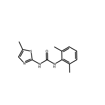 Cc1cnc(NC(=O)Nc2c(C)cccc2C)s1